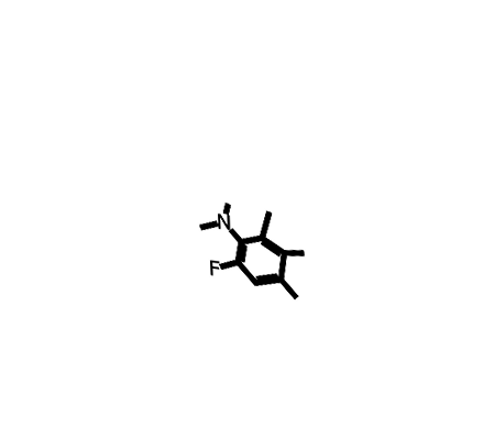 Cc1cc(F)c(N(C)C)c(C)c1C